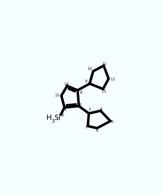 [SiH3]C1=C(C2CCCC2)C(C2CCCC2)=CC1